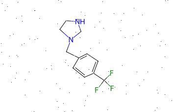 FC(F)(F)c1ccc(CN2CCNC2)cc1